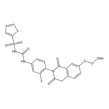 COOSc1ccc2c(c1)C(=O)N(c1ccc(NC(=O)NS(=O)(=O)c3cccs3)cc1F)C(=O)C2